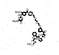 CNc1nc(Nc2ccc(C(=O)N3CCN(CCOCCOCCOc4cccc(C(=O)c5csc([C@@H]6CCCN6C(=O)[C@@H](NC(=O)[C@H](C)N(C)C(=O)O)C6CCCCC6)n5)c4)CC3)cc2OC)ncc1Cl